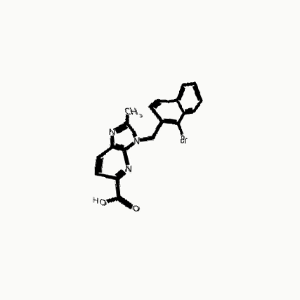 Cc1nc2ccc(C(=O)O)nc2n1Cc1ccc2ccccc2c1Br